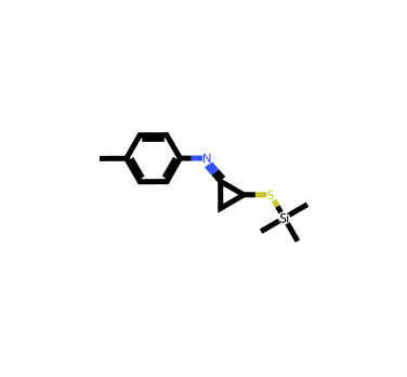 Cc1ccc(/N=C2\CC2S[Si](C)(C)C)cc1